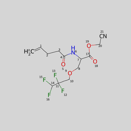 C=CCCC(=O)NC(COCC(F)(F)C(F)F)C(=O)OCC#N